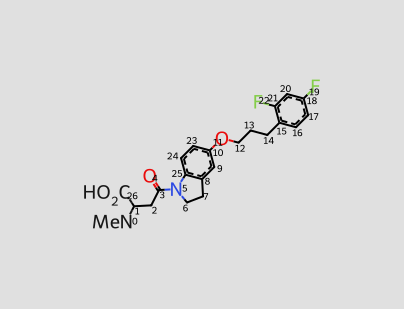 CNC(CC(=O)N1CCc2cc(OCCCc3ccc(F)cc3F)ccc21)C(=O)O